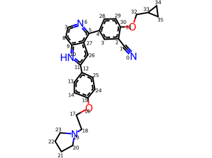 N#Cc1cc(-c2nccc3[nH]c(-c4ccc(OCCN5CCCC5)cc4)cc23)ccc1OCC1CC1